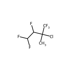 CC(Cl)(C(F)C(F)F)C(F)(F)F